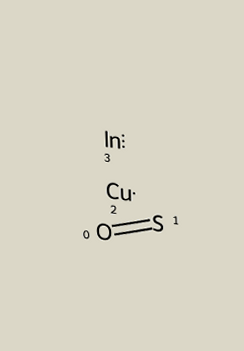 O=S.[Cu].[In]